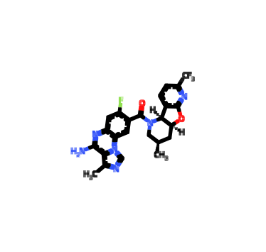 Cc1ncn2c1c(N)nc1cc(F)c(C(=O)N3C[C@H](C)C[C@@H]4Oc5nc(C(F)(F)F)ccc5[C@@H]43)cc12